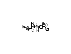 CC(C)(NC(=O)c1ccc(Br)s1)C(=O)Nc1ccc(C(=O)N2CCCC2)c(Br)c1